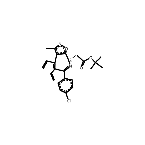 C=CC1=C(C=C)c2c(C)noc2[C@H](CC(=O)OC(C)(C)C)N=C1c1ccc(Cl)cc1